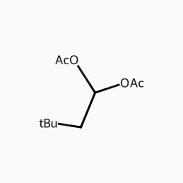 CC(=O)OC(CC(C)(C)C)OC(C)=O